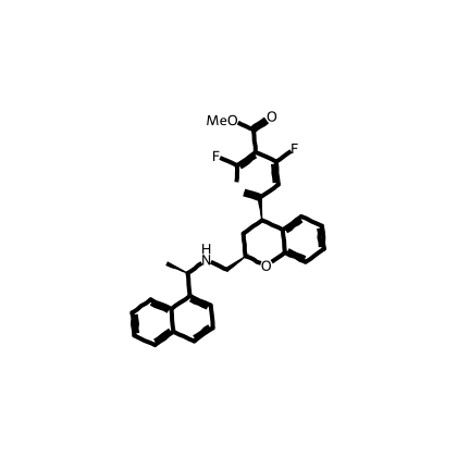 C=C(/C=C(F)\C(C(=O)OC)=C(/C)F)[C@@H]1C[C@H](CN[C@H](C)c2cccc3ccccc23)Oc2ccccc21